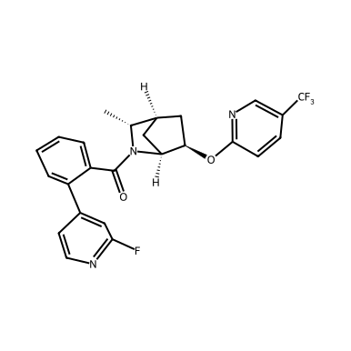 C[C@@H]1[C@H]2C[C@@H](Oc3ccc(C(F)(F)F)cn3)[C@H](C2)N1C(=O)c1ccccc1-c1ccnc(F)c1